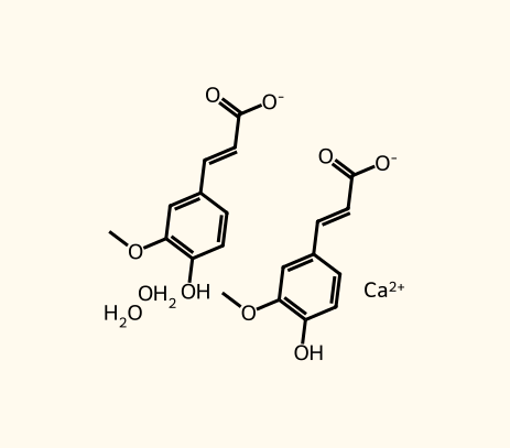 COc1cc(/C=C/C(=O)[O-])ccc1O.COc1cc(/C=C/C(=O)[O-])ccc1O.O.O.[Ca+2]